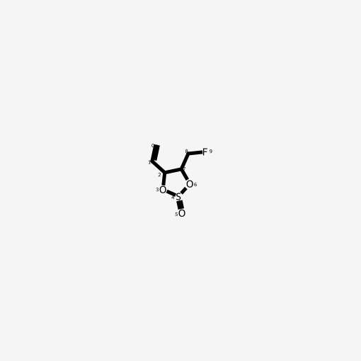 C=CC1OS(=O)OC1CF